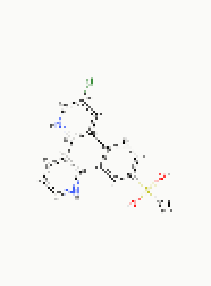 CS(=O)(=O)c1ccc(-c2cc(Cl)cnc2-c2cccnc2)cc1